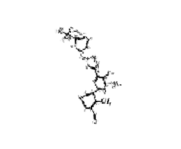 C#Cc1cccc(-c2nc(N)c(F)c(-c3cn(Cc4cccc(C(C)(O)CC)n4)nn3)n2)c1C